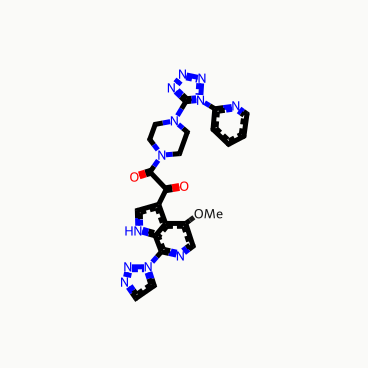 COc1cnc(-n2ccnn2)c2[nH]cc(C(=O)C(=O)N3CCN(c4nnnn4-c4ccccn4)CC3)c12